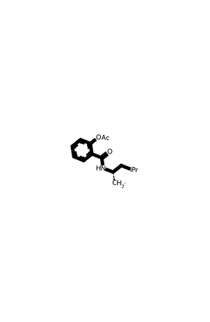 [CH2][C@@H](CC(C)C)NC(=O)c1ccccc1OC(C)=O